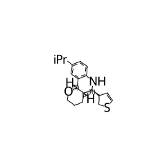 CC(C)c1ccc2c(c1)[C@H]1OCCC[C@H]1[C@H](C1C=CSC1)N2